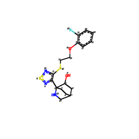 OC1CC2CCC1(c1nsnc1SCCOc1ccccc1F)NC2